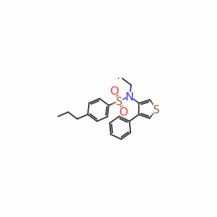 [CH2]CN(c1cscc1-c1ccccc1)S(=O)(=O)c1ccc(CCC)cc1